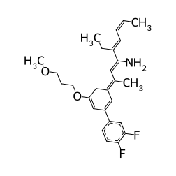 C\C=C/C=C(CC)/C(N)=C/C(C)=C1/C=C(c2ccc(F)c(F)c2)C=C(OCCCOC)C1